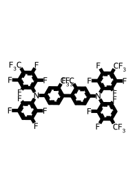 Fc1cc(F)c(F)c(N(c2ccc(-c3ccc(N(c4c(F)cc(C(F)(F)F)c(F)c4F)c4c(F)c(F)c(C(F)(F)F)c(F)c4F)cc3C(F)(F)F)c(C(F)(F)F)c2)c2c(F)c(F)c(C(F)(F)F)c(F)c2F)c1F